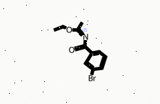 CCO/C(C)=N\C(=O)c1cccc(Br)c1